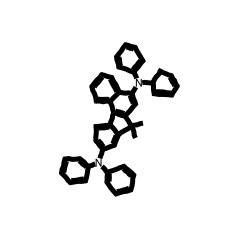 CC1(C)c2cc(N(c3ccccc3)c3ccccc3)ccc2-c2c1cc(N(c1ccccc1)C1C=CC=CC1)c1ccccc21